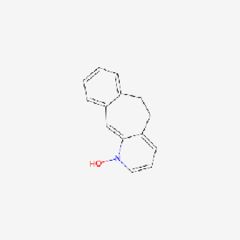 ON1C=CC=C2CCc3ccccc3C=C21